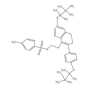 Cc1ccc(S(=O)(=O)OCCC2=C(c3ccc(O[Si](C)(C)C(C)(C)C)cc3)CCc3cc(O[Si](C)(C)C(C)(C)C)ccc32)cc1